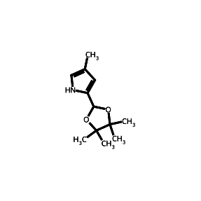 Cc1c[nH]c(C2OC(C)(C)C(C)(C)O2)c1